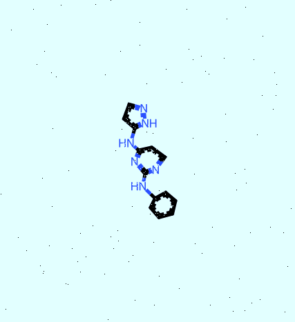 c1ccc(Nc2nccc(Nc3ccn[nH]3)n2)cc1